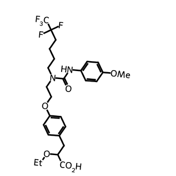 CCOC(Cc1ccc(OCCN(CCCCC(F)(F)C(F)(F)F)C(=O)Nc2ccc(OC)cc2)cc1)C(=O)O